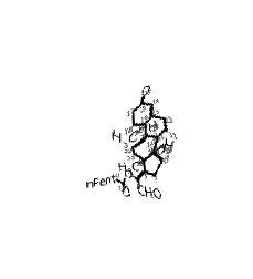 CCCCCC(=O)OC(C=O)=C1CC[C@H]2[C@@H]3CCC4=CC(=O)CC[C@]4(C)C3=CC[C@]12C